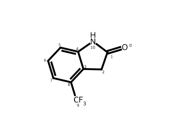 O=C1Cc2c(cccc2C(F)(F)F)N1